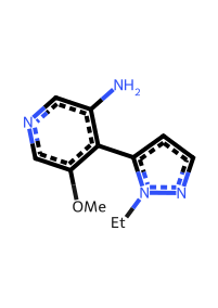 CCn1nccc1-c1c(N)cncc1OC